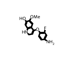 COc1cc2c(cc1O)NCC=C2Oc1ccc(N)cc1F